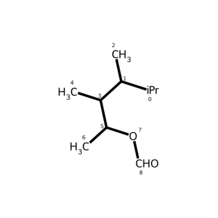 CC(C)C(C)C(C)C(C)OC=O